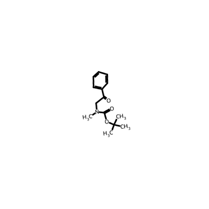 CN(CC(=O)c1ccccc1)C(=O)OC(C)(C)C